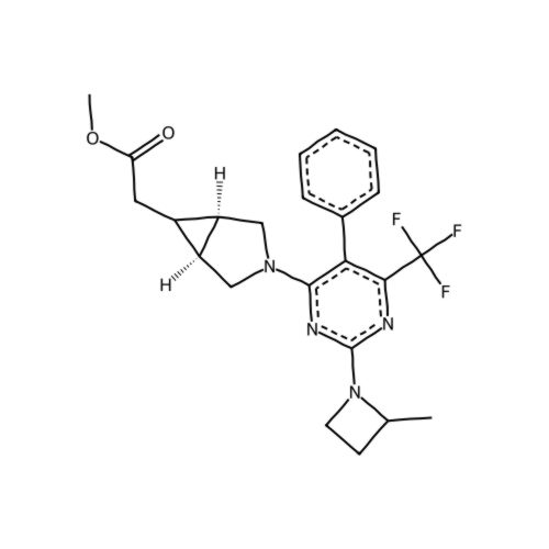 COC(=O)CC1[C@H]2CN(c3nc(N4CCC4C)nc(C(F)(F)F)c3-c3ccccc3)C[C@@H]12